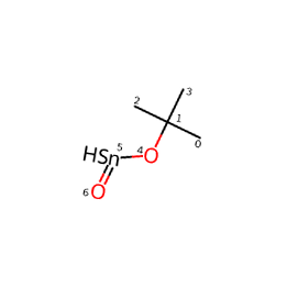 CC(C)(C)[O][SnH]=[O]